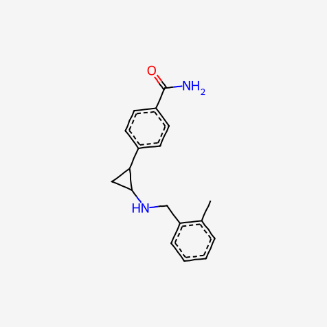 Cc1ccccc1CNC1CC1c1ccc(C(N)=O)cc1